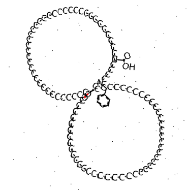 O=C(O)N1CCCCCCCCCCCCCCCCCCCCCCCCCCCCCCCCCCCCCCCC2(CCCCCCCCCCCCCCCCCCCCCCCCCCCCCCCCCCCCCCCCCCCCCC23OCCO3)CN(Cc2ccccc2)CCCC1